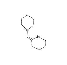 C(=C1CCCC[N]1)N1CCCCC1